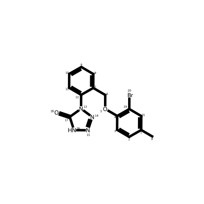 Cc1ccc(OCc2ccccc2-n2nn[nH]c2=O)c(Br)c1